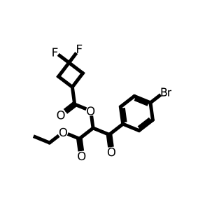 CCOC(=O)C(OC(=O)C1CC(F)(F)C1)C(=O)c1ccc(Br)cc1